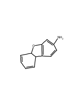 Nc1ccc2c(c1)OC1C=CC=CC21